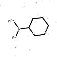 CCCN(CC)C1CCCCC1